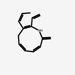 C=C/C1=C(\C=C/C)C/C=C\C=C/C(=C)N1